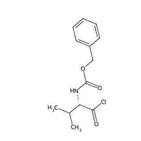 CC(C)[C@H](NC(=O)OCc1ccccc1)C(=O)Cl